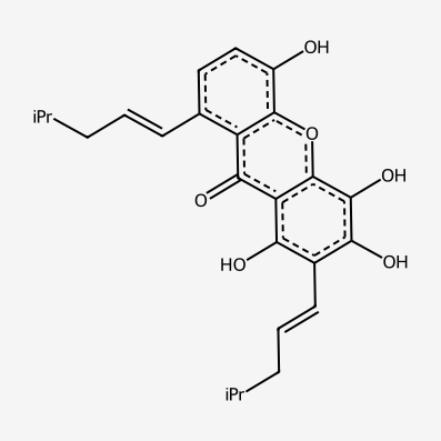 CC(C)CC=Cc1c(O)c(O)c2oc3c(O)ccc(C=CCC(C)C)c3c(=O)c2c1O